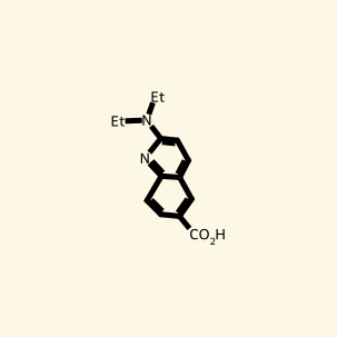 CCN(CC)c1ccc2cc(C(=O)O)ccc2n1